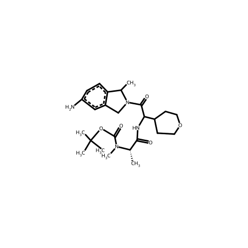 CC1c2ccc(N)cc2CN1C(=O)C(NC(=O)[C@H](C)N(C)C(=O)OC(C)(C)C)C1CCOCC1